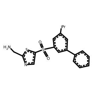 CC(C)c1cc(-c2ccccc2)cc(S(=O)(=O)c2cnc(CN)s2)c1